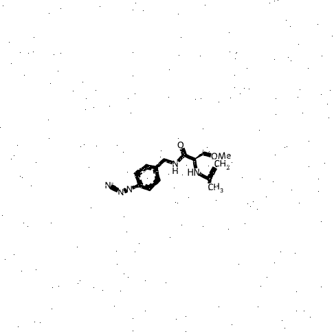 C=C(C)N[C@H](COC)C(=O)NCc1ccc(N=[N+]=[N-])cc1